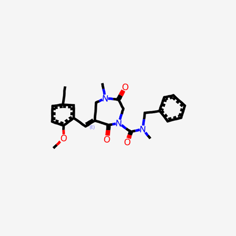 COc1ccc(C)cc1/C=C1\CN(C)C(=O)CN(C(=O)N(C)Cc2ccccc2)C1=O